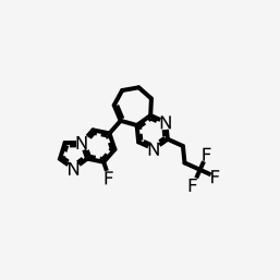 Fc1cc(C2=CCCCc3nc(CCC(F)(F)F)ncc32)cn2ccnc12